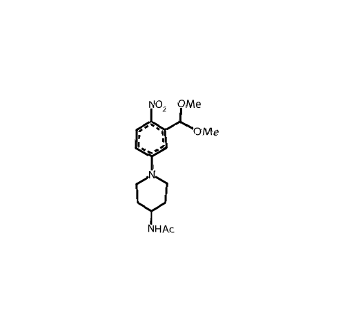 COC(OC)c1cc(N2CCC(NC(C)=O)CC2)ccc1[N+](=O)[O-]